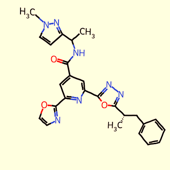 CC(NC(=O)c1cc(-c2ncco2)nc(-c2nnc([C@@H](C)Cc3ccccc3)o2)c1)c1ccn(C)n1